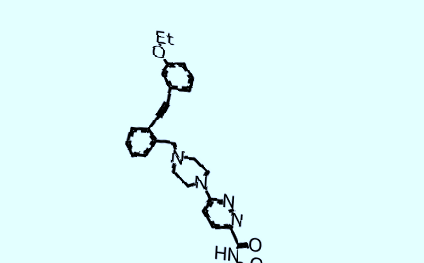 CCOc1cccc(C#Cc2ccccc2CN2CCN(c3ccc(C(=O)NS(=O)(=O)C(C)(C)C)nn3)CC2)c1